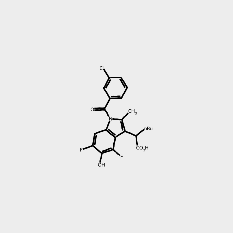 CCCCC(C(=O)O)c1c(C)n(C(=O)c2cccc(Cl)c2)c2cc(F)c(O)c(F)c12